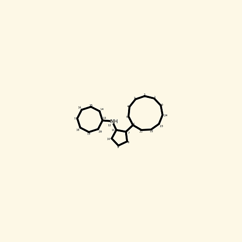 C1CCCCCC(C2CCCC2NC2CCCCCCC2)CCCC1